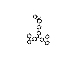 c1ccc(-c2ccccc2-c2ccc(C(c3ccc(-c4ccc(-c5ccc6oc7ccccc7c6c5)cc4)cc3)c3ccc(-c4ccccc4-c4ccccc4)cc3)cc2)cc1